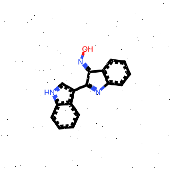 ON=C1C(c2c[nH]c3ccccc23)=Nc2ccccc21